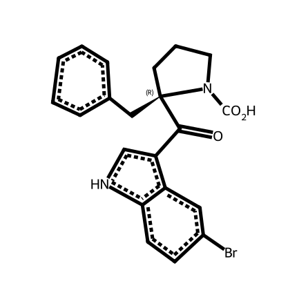 O=C(O)N1CCC[C@@]1(Cc1ccccc1)C(=O)c1c[nH]c2ccc(Br)cc12